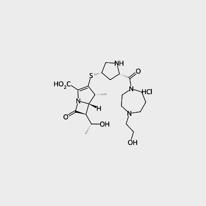 C[C@@H](O)[C@H]1C(=O)N2C(C(=O)O)=C(S[C@@H]3CN[C@H](C(=O)N4CCCN(CCO)CC4)C3)[C@H](C)[C@H]12.Cl